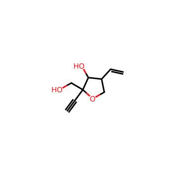 C#CC1(CO)OCC(C=C)C1O